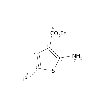 CCOC(=O)c1cc(C(C)C)sc1N